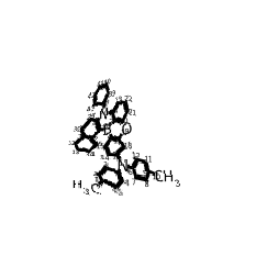 Cc1ccc(N(c2ccc(C)cc2)c2ccc3c(c2)Oc2cccc4c2B3c2c(ccc3ccccc23)N4c2ccccc2)cc1